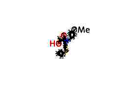 COc1ccc(CN2C(=O)C(C(C)O)C2C#CSc2ccccc2)cc1